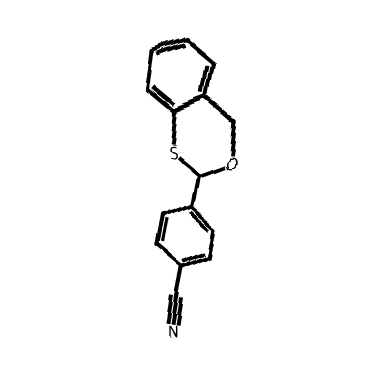 N#Cc1ccc(C2OCc3ccccc3S2)cc1